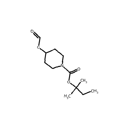 CCC(C)(C)OC(=O)N1CCC(OC=O)CC1